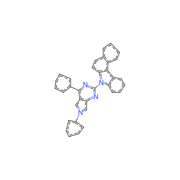 c1ccc(-c2nc(-n3c4ccccc4c4c5ccccc5ccc43)nc3cn(-c4ccccc4)cc23)cc1